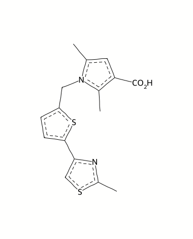 Cc1nc(-c2ccc(Cn3c(C)cc(C(=O)O)c3C)s2)cs1